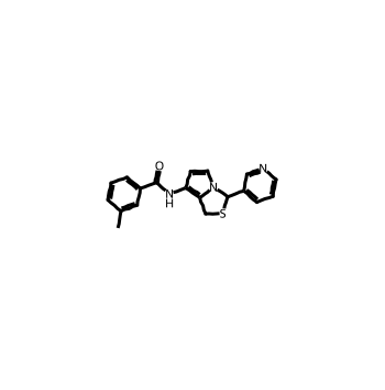 Cc1cccc(C(=O)Nc2ccn3c2CSC3c2cccnc2)c1